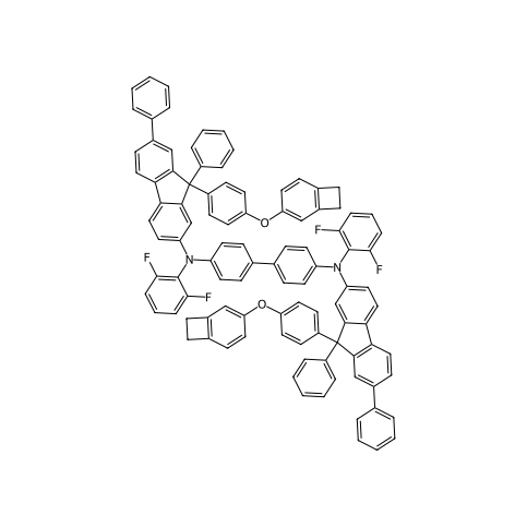 Fc1cccc(F)c1N(c1ccc(-c2ccc(N(c3ccc4c(c3)C(c3ccccc3)(c3ccc(Oc5ccc6c(c5)CC6)cc3)c3cc(-c5ccccc5)ccc3-4)c3c(F)cccc3F)cc2)cc1)c1ccc2c(c1)C(c1ccccc1)(c1ccc(Oc3ccc4c(c3)CC4)cc1)c1cc(-c3ccccc3)ccc1-2